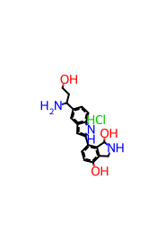 Cl.NC(CCO)c1ccc2[nH]c(-c3ccc(O)c4c3C(O)NC4)cc2c1